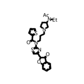 CCN(C(C)=O)C1CCN(CCCN(C(=O)c2cccs2)c2nc(C3Oc4ccccc4C3=O)cs2)C1